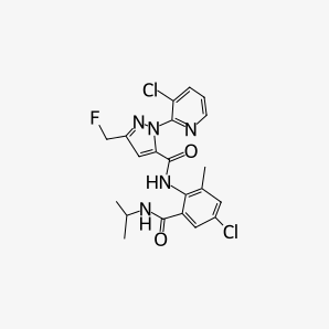 Cc1cc(Cl)cc(C(=O)NC(C)C)c1NC(=O)c1cc(CF)nn1-c1ncccc1Cl